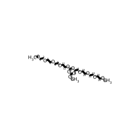 COCCOCCOCCOCCOC(OCCOCCOCCOCCOC)OC(=O)OC